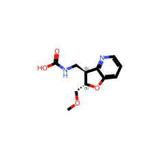 COC[C@H]1Oc2cccnc2[C@@H]1CNC(=O)O